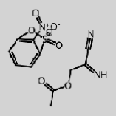 CC(=O)OCC(=N)C#N.O=[N+]([O-])c1c2cccc1S(=O)(=O)O2